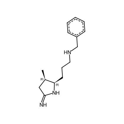 C[C@@H]1CC(=N)N[C@@H]1CCCNCc1ccccc1